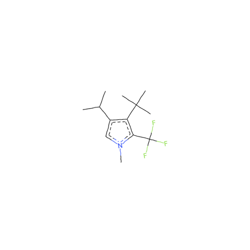 CC(C)c1cn(C)c(C(F)(F)F)c1C(C)(C)C